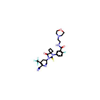 N#CC1=C(C(F)(F)F)CC(N2C(=O)C3(CCC3)N(c3ccc(F)c(C(=O)NCCN4CCOCC4)c3)C2=S)C=N1